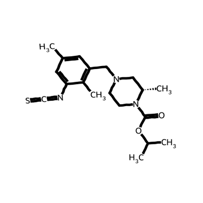 Cc1cc(CN2CCN(C(=O)OC(C)C)[C@@H](C)C2)c(C)c(N=C=S)c1